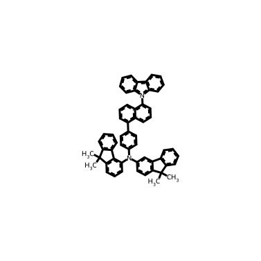 CC1(C)c2ccccc2-c2cc(N(c3ccc(-c4cccc5c(-n6c7ccccc7c7ccccc76)cccc45)cc3)c3cccc4c3-c3ccccc3C4(C)C)ccc21